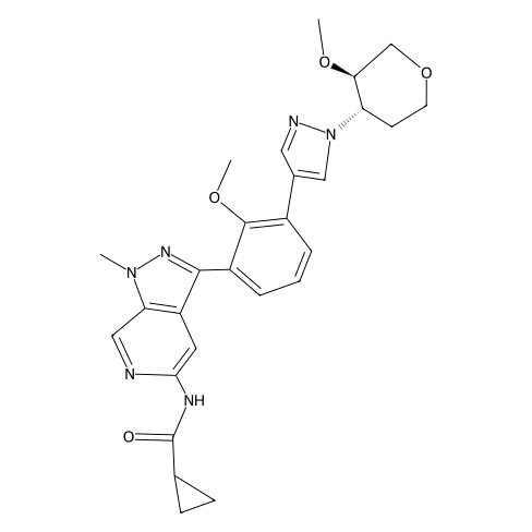 COc1c(-c2cnn([C@H]3CCOC[C@@H]3OC)c2)cccc1-c1nn(C)c2cnc(NC(=O)C3CC3)cc12